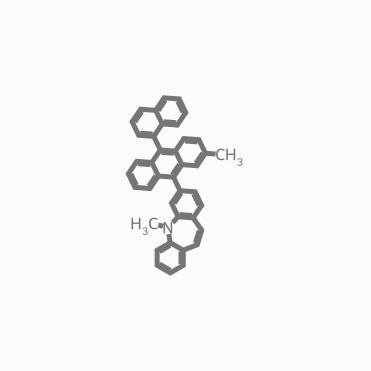 Cc1ccc2c(-c3cccc4ccccc34)c3ccccc3c(-c3ccc4c(c3)N(C)c3ccccc3C=C4)c2c1